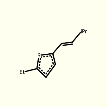 CCc1ccc(/C=C/C(C)C)s1